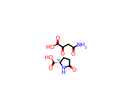 NC(=O)CC(=O)C(=O)O.O=C1CC[C@@H](C(=O)O)N1